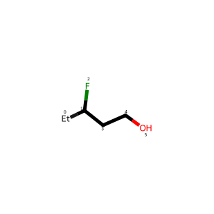 CCC(F)CCO